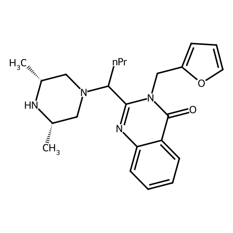 CCCC(c1nc2ccccc2c(=O)n1Cc1ccco1)N1C[C@@H](C)N[C@@H](C)C1